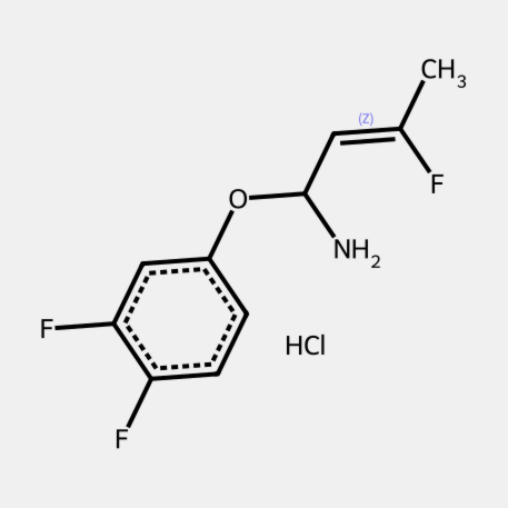 C/C(F)=C/C(N)Oc1ccc(F)c(F)c1.Cl